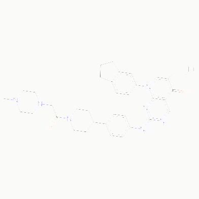 CCOC(=O)c1cn(-c2ccc3c(c2)CCC3)c2nc(Nc3ccc(C4CCN(C(=O)CN5CCN(C)CC5)CC4)cc3)ncc2c1=O